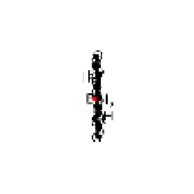 CCC(C)(CC(O)COc1ccc(COC(CN)CC(C)(CC)OCc2ccc(OCC(O)CC(C)(CC)OCc3ccc(OCC4CO4)cc3)cc2)cc1)OCc1ccc(OCC2CO2)cc1